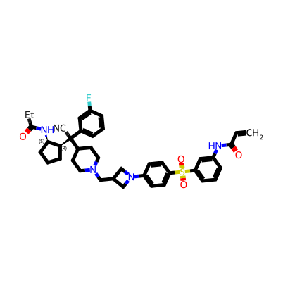 C=CC(=O)Nc1cccc(S(=O)(=O)c2ccc(N3CC(CN4CCC(C(C#N)(c5cccc(F)c5)[C@H]5CCC[C@@H]5NC(=O)CC)CC4)C3)cc2)c1